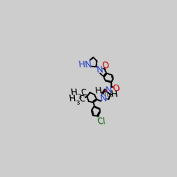 CC1(C)CCC(CN2C[C@@H]3C[C@H]2CN3C(=O)c2ccc3c(c2)CN(C2CCCNC2)C3=O)=C(c2ccc(Cl)cc2)C1